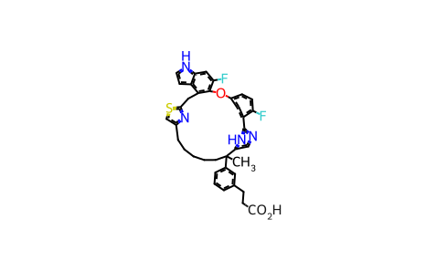 CC1(c2cccc(CCC(=O)O)c2)CCCCCc2csc(n2)Cc2c(c(F)cc3[nH]ccc23)Oc2ccc(F)c(c2)-c2ncc1[nH]2